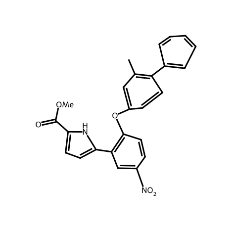 COC(=O)c1ccc(-c2cc([N+](=O)[O-])ccc2Oc2ccc(-c3ccccc3)c(C)c2)[nH]1